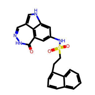 O=C1NN=Cc2c[nH]c3cc(NS(=O)(=O)CCc4cccc5ccccc45)cc1c23